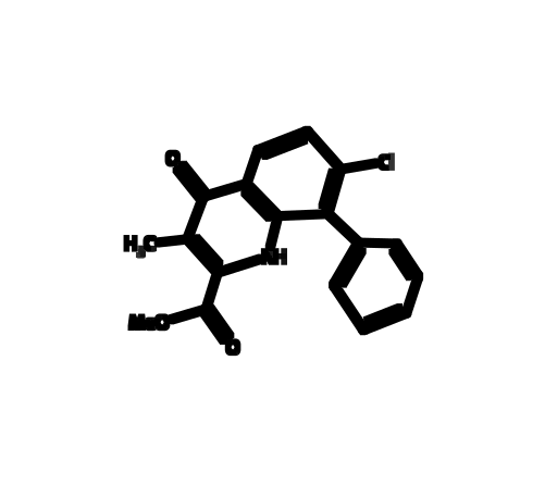 COC(=O)c1[nH]c2c(-c3ccccc3)c(Cl)ccc2c(=O)c1C